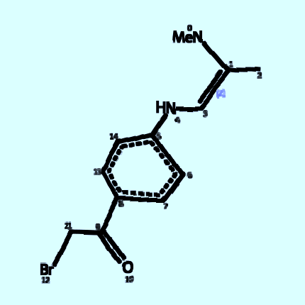 CN/C(C)=C\Nc1ccc(C(=O)CBr)cc1